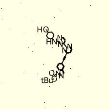 CC(C)(C)OC(=O)n1ncc2cc(C#Cc3ccnc(-c4ccnc(N[C@H]5CC[C@H](O)CC5)n4)n3)ccc21